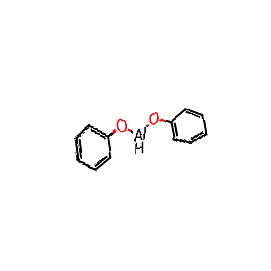 c1ccc([O][AlH][O]c2ccccc2)cc1